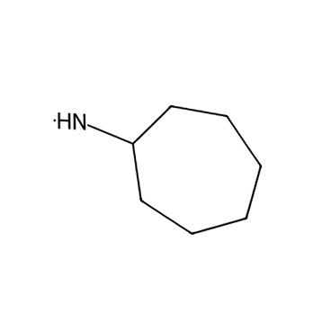 [NH]C1CCCCCC1